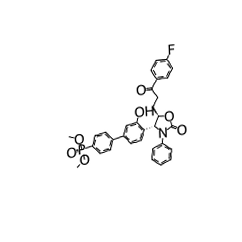 COP(=O)(OC)c1ccc(-c2ccc([C@@H]3[C@@H](CCC(=O)c4ccc(F)cc4)OC(=O)N3c3ccccc3)c(O)c2)cc1